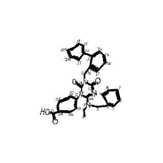 CCN(Cc1ccccc1)c1nc(=O)n(Cc2ccccc2-c2ccccc2)c(=O)n1-c1ccc(C(=O)O)cc1